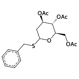 CC(=O)OC[C@H]1OC(SCc2ccccc2)C[C@@H](OC(C)=O)[C@@H]1OC(C)=O